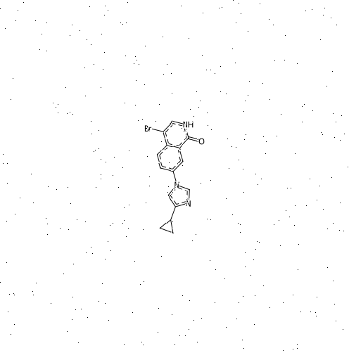 O=c1[nH]cc(Br)c2ccc(-n3cnc(C4CC4)c3)cc12